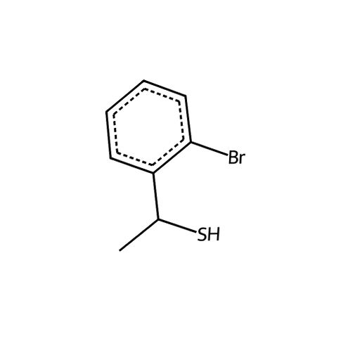 CC(S)c1ccccc1Br